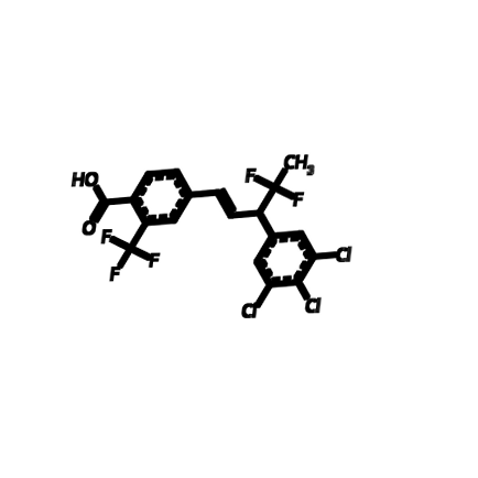 CC(F)(F)C(C=Cc1ccc(C(=O)O)c(C(F)(F)F)c1)c1cc(Cl)c(Cl)c(Cl)c1